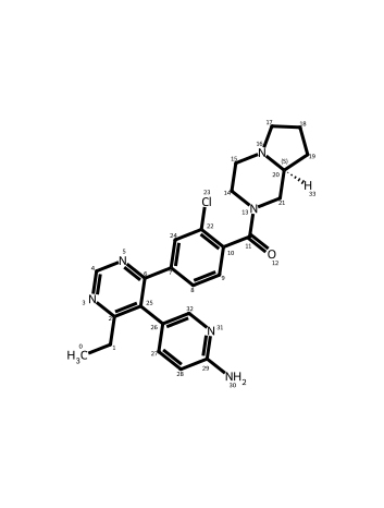 CCc1ncnc(-c2ccc(C(=O)N3CCN4CCC[C@H]4C3)c(Cl)c2)c1-c1ccc(N)nc1